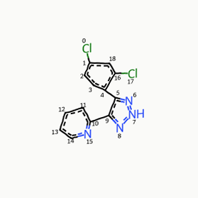 Clc1ccc(-c2n[nH]nc2-c2ccccn2)c(Cl)c1